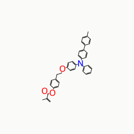 C=C(C)C(=O)Oc1ccc(CCOc2ccc(N(c3ccccc3)c3ccc(-c4ccc(C)cc4)cc3)cc2)cc1